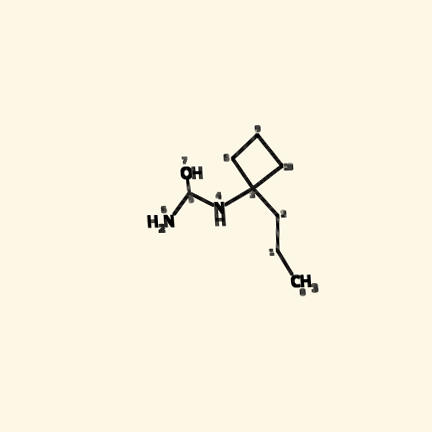 CCCC1(NC(N)O)CCC1